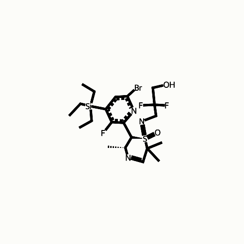 CC[Si](CC)(CC)c1cc(Br)nc(C2[C@@H](C)N=CC(C)(C)[S@@]2(=O)=NCC(F)(F)CO)c1F